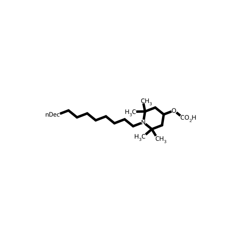 CCCCCCCCCCCCCCCCCCN1C(C)(C)CC(OC(=O)O)CC1(C)C